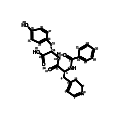 O=C(N[C@@H](CC1=CC=NCC1)C(=O)N[C@@H](Cc1ccc(O)cc1)C(=O)O)c1ccccc1